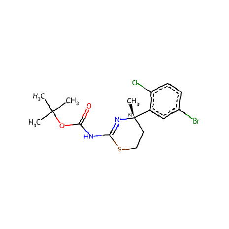 CC(C)(C)OC(=O)NC1=N[C@](C)(c2cc(Br)ccc2Cl)CCS1